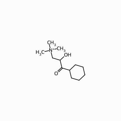 C[N+](C)(C)CC(O)C(=O)C1CCCCC1